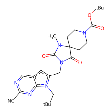 CN1C(=O)N(Cc2cc3cnc(C#N)nc3n2CC(C)(C)C)C(=O)C12CCN(C(=O)OC(C)(C)C)CC2